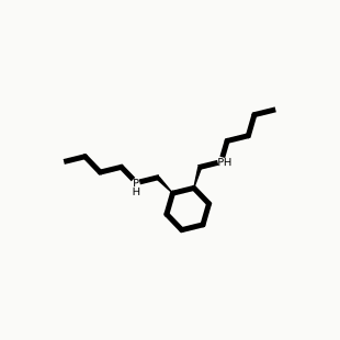 CCCCPC[C@H]1CCCC[C@H]1CPCCCC